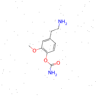 COc1cc([CH]CN)ccc1OC(N)=O